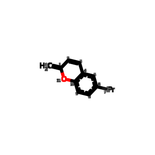 C=C1C=Cc2cc(C(C)C)ccc2O1